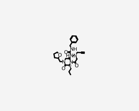 C#CCN1CC(=O)N2[C@@H](CCC)C(=O)N(CC3CCCO3)C[C@@H]2N1C(=O)NCc1ccccc1